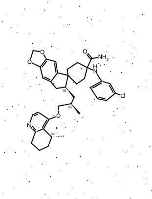 C[C@@H](COc1ccnc2c1[C@H](C)CCC2)C[C@H]1Cc2cc3c(cc2C12CCC(Nc1cccc(Cl)c1)(C(N)=O)CC2)OCO3